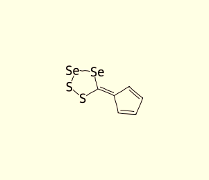 C1=CC(=C2SS[Se][Se]2)C=C1